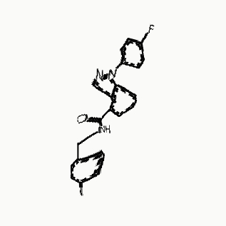 O=C(NCc1ccc(I)cc1)c1cccc2c1cnn2-c1ccc(F)cc1